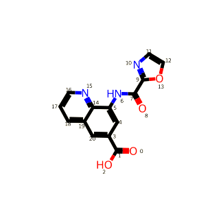 O=C(O)c1cc(NC(=O)c2ncco2)c2ncccc2c1